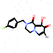 CC(=O)c1cn2c(c(O)c1=O)C(=O)N(Cc1ccc(F)cc1)CC2